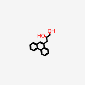 OCC(O)Cc1cc2ccccc2c2ccccc12